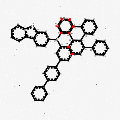 c1ccc(-c2ccc(-c3cccc(N(c4ccc5c(c4)oc4ccccc45)c4ccccc4-c4cccc(-c5ccccc5)c4-c4ccccc4-c4ccccc4)c3)cc2)cc1